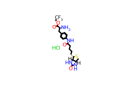 Cl.N[C@@H](Cc1ccc(NC(=O)CCCC[C@@H]2SC[C@@H]3NC(=O)N[C@@H]32)cc1)C(=O)OCC(F)(F)F